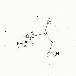 CCC(CC(=O)O)C(=O)O.P.[AlH3]